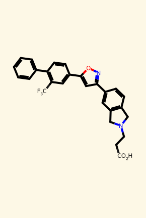 O=C(O)CCN1Cc2ccc(-c3cc(-c4ccc(-c5ccccc5)c(C(F)(F)F)c4)on3)cc2C1